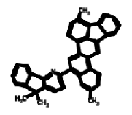 Cc1ccc2c(c1)c(-c1ccc3c(n1)-c1ccccc1C3(C)C)cc1c3ccc(C)c4c3c(cc21)-c1ccccc1-4